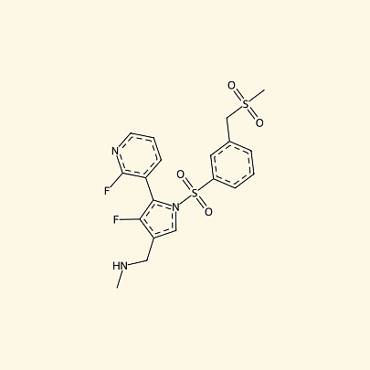 CNCc1cn(S(=O)(=O)c2cccc(CS(C)(=O)=O)c2)c(-c2cccnc2F)c1F